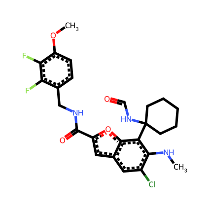 CNc1c(Cl)cc2cc(C(=O)NCc3ccc(OC)c(F)c3F)oc2c1C1(NC=O)CCCCC1